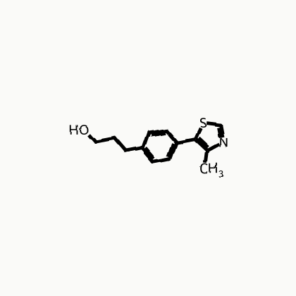 Cc1ncsc1-c1ccc(CCCO)cc1